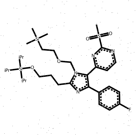 CC(C)[Si](OCCCc1nc(-c2ccc(F)cc2)c(-c2ccnc(S(C)(=O)=O)n2)n1COCC[Si](C)(C)C)(C(C)C)C(C)C